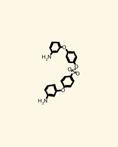 Nc1cccc(Oc2ccc(OS(=O)(=O)c3ccc(Oc4cccc(N)c4)cc3)cc2)c1